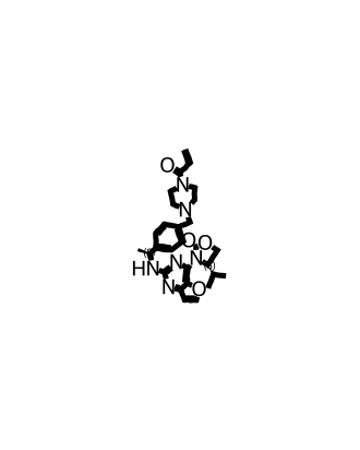 C=CC(=O)N1CCN(Cc2ccc([C@H](C)Nc3nc(N4C(=O)OC[C@@H]4C(C)C)c4occc4n3)cc2)CC1